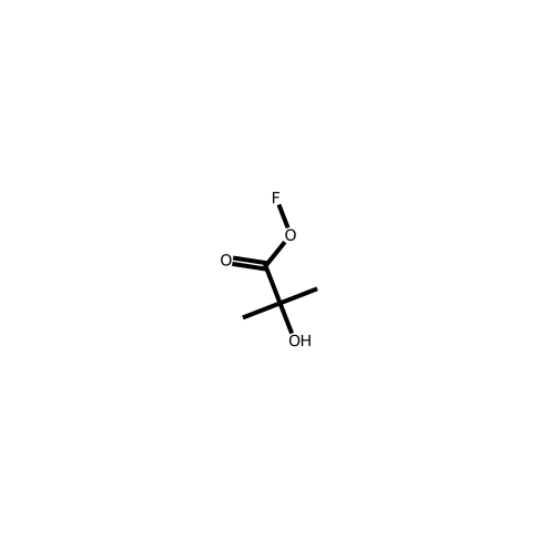 CC(C)(O)C(=O)OF